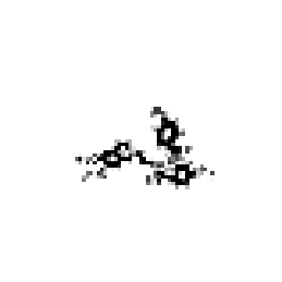 COc1cc2c(cc1OC)CN(CCNC(=O)c1ccc(N)cc1NC(=O)c1ccc(C(C)C)cc1)CC2